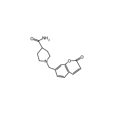 NC(=O)C1CCN(Cc2ccc3ccc(=O)oc3c2)CC1